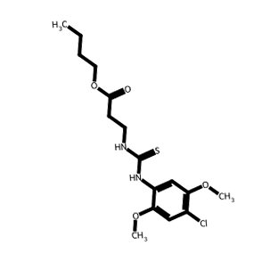 CCCCOC(=O)CCNC(=S)Nc1cc(OC)c(Cl)cc1OC